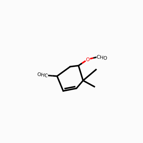 CC1(C)C=CC(C=O)CC1OC=O